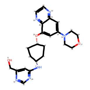 OCc1cc(N[C@H]2CC[C@@H](Oc3cc(N4CCOCC4)cc4nccnc34)CC2)ncn1